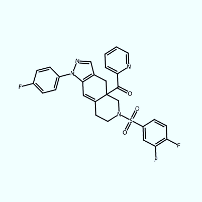 O=C(c1ccccn1)C12Cc3cnn(-c4ccc(F)cc4)c3C=C1CCN(S(=O)(=O)c1ccc(F)c(F)c1)C2